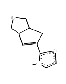 Cn1ccnc1C1=CC2CNCC2C1